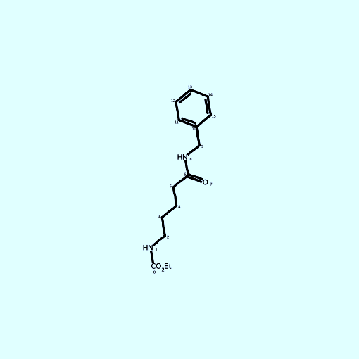 CCOC(=O)NCCCCC(=O)NCc1ccccc1